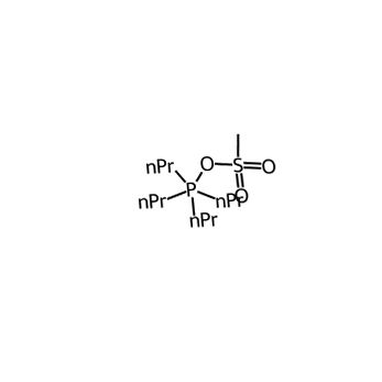 CCCP(CCC)(CCC)(CCC)OS(C)(=O)=O